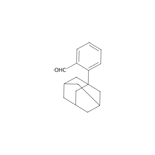 O=[C]c1ccccc1C12CC3CC(CC(C3)C1)C2